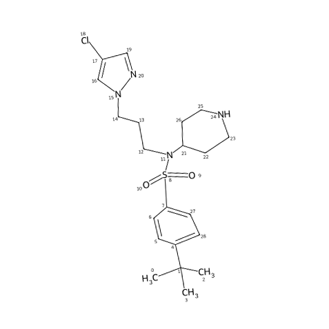 CC(C)(C)c1ccc(S(=O)(=O)N(CCCn2cc(Cl)cn2)C2CCNCC2)cc1